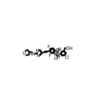 COc1c(CO)cc(Cl)cc1S(=O)(=O)Nc1ccc(F)c(C#Cc2cnc(NCC3CCOCC3)nc2)c1F